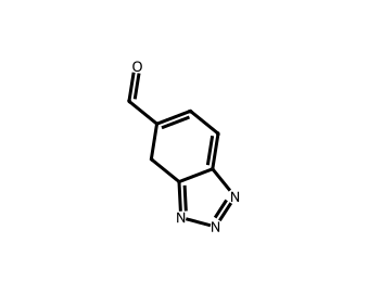 O=CC1=CC=C2N=NN=C2C1